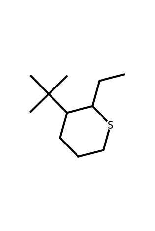 CCC1SCCCC1C(C)(C)C